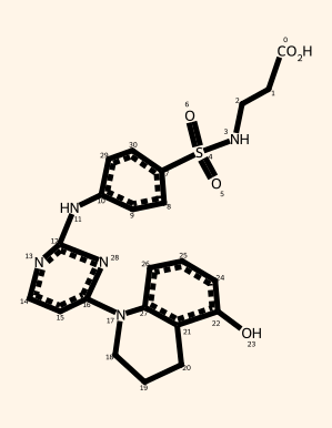 O=C(O)CCNS(=O)(=O)c1ccc(Nc2nccc(N3CCCc4c(O)cccc43)n2)cc1